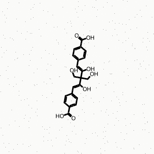 O=C(O)c1ccc(C=C(O)C(CO)(CO)C(O)=Cc2ccc(C(=O)O)cc2)cc1